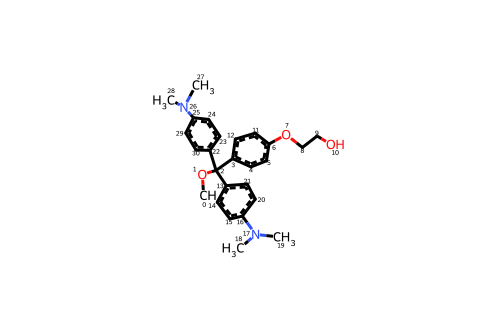 COC(c1ccc(OCCO)cc1)(c1ccc(N(C)C)cc1)c1ccc(N(C)C)cc1